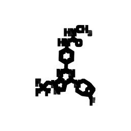 CNC(=O)Nc1ccc(-c2nc(N3CC4CC(F)C(C3)O4)c3cnn(CC(F)(F)F)c3n2)cc1